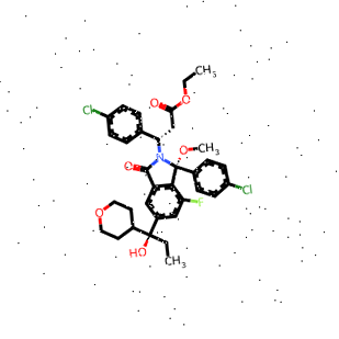 CCOC(=O)C[C@@H](c1ccc(Cl)cc1)N1C(=O)c2cc([C@](O)(CC)C3CCOCC3)cc(F)c2[C@]1(OC)c1ccc(Cl)cc1